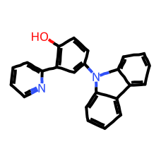 Oc1ccc(-n2c3ccccc3c3ccccc32)cc1-c1ccccn1